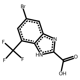 O=C(O)c1nc2cc(Br)cc(C(F)(F)F)c2[nH]1